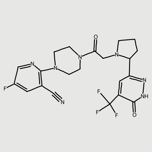 N#Cc1cc(F)cnc1N1CCN(C(=O)CN2CCCC2c2cc(C(F)(F)F)c(=O)[nH]n2)CC1